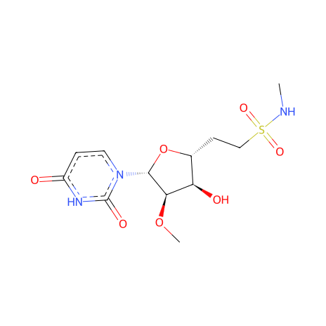 CNS(=O)(=O)CC[C@H]1O[C@@H](n2ccc(=O)[nH]c2=O)[C@H](OC)[C@@H]1O